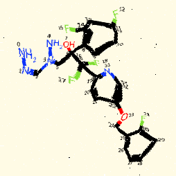 N/N=C\N(N)CC(O)(c1ccc(F)cc1F)C(F)(F)c1ccc(OCc2ccccc2F)cn1